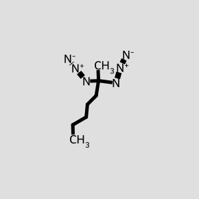 CCCCCC(C)(N=[N+]=[N-])N=[N+]=[N-]